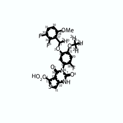 [2H]C(Oc1cc(-n2c(=O)[nH]c3csc(C(=O)O)c3c2=O)c(F)cc1OC([2H])([2H])[2H])c1c(OC)ccc(F)c1F